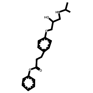 CC(C)NCC(O)COc1ccc(CCC(=O)Oc2ccccc2)cc1